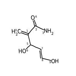 C=C(C(N)=O)C(O)C=CO